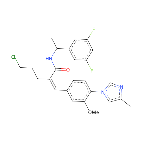 COc1cc(C=C(CCCCl)C(=O)NC(C)c2cc(F)cc(F)c2)ccc1-n1cnc(C)c1